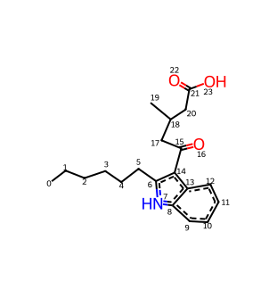 CCCCCCc1[nH]c2ccccc2c1C(=O)CC(C)CC(=O)O